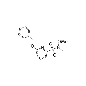 CON(C)S(=O)(=O)c1cccc(OCc2ccccc2)n1